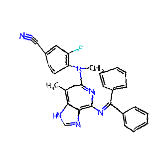 Cc1c(N(C)c2ccc(C#N)cc2F)nc(N=C(c2ccccc2)c2ccccc2)c2nc[nH]c12